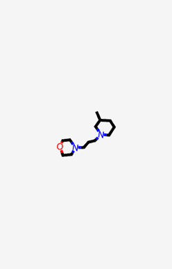 CC1CCCN(CCCN2CCOCC2)C1